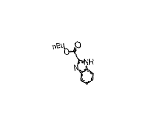 CCCCOC(=O)c1nc2ccccc2[nH]1